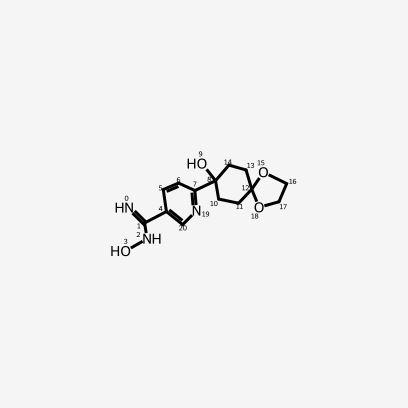 N=C(NO)c1ccc(C2(O)CCC3(CC2)OCCO3)nc1